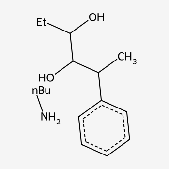 CCC(O)C(O)C(C)c1ccccc1.CCCCN